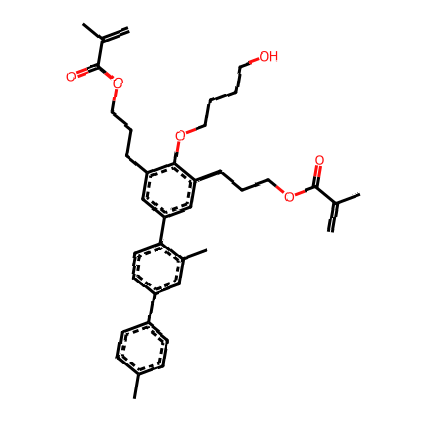 C=C(C)C(=O)OCCCc1cc(-c2ccc(-c3ccc(C)cc3)cc2C)cc(CCCOC(=O)C(=C)C)c1OCCCCO